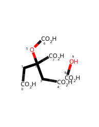 O=C(O)CC(CC(=O)O)(OC(=O)O)C(=O)O.O=C(O)O